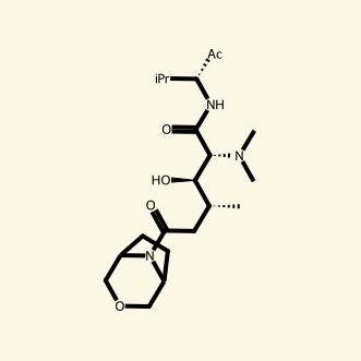 CC(=O)[C@H](NC(=O)[C@@H]([C@H](O)[C@H](C)CC(=O)N1C2CCC1COC2)N(C)C)C(C)C